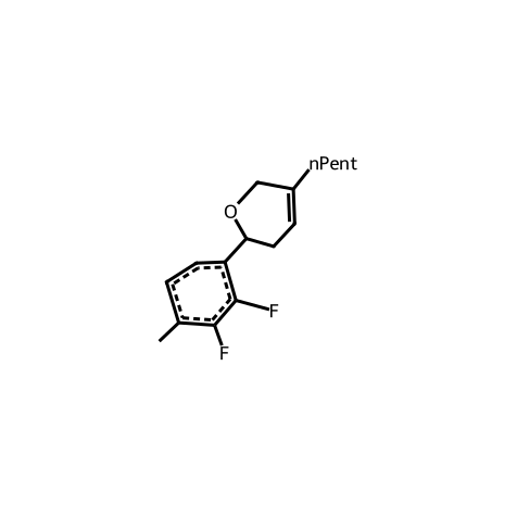 CCCCCC1=CCC(c2ccc(C)c(F)c2F)OC1